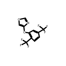 FC(F)(F)c1ccc(C(F)(F)F)c(Oc2co[c]n2)c1